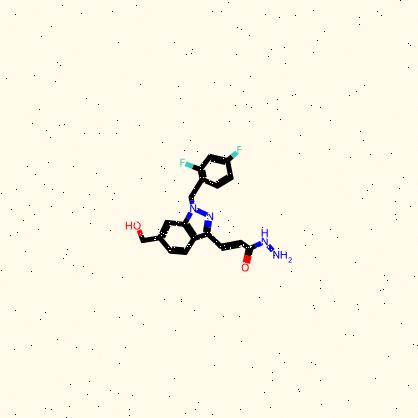 NNC(=O)/C=C/c1nn(Cc2ccc(F)cc2F)c2cc(CO)ccc12